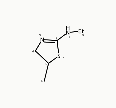 CCNC1=NCC(C)S1